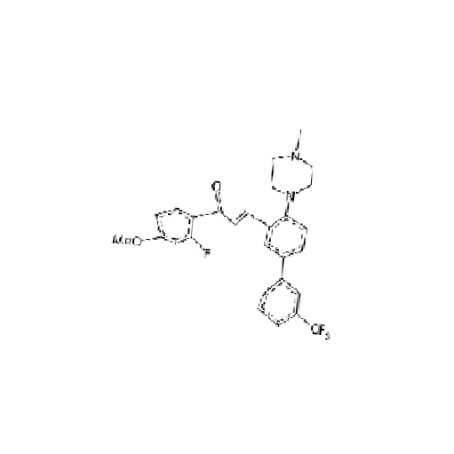 COc1ccc(C(=O)C=Cc2cc(-c3cccc(C(F)(F)F)c3)ccc2N2CCN(C)CC2)c(F)c1